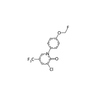 O=c1c(Cl)cc(C(F)(F)F)cn1-c1ccc(OCF)cc1